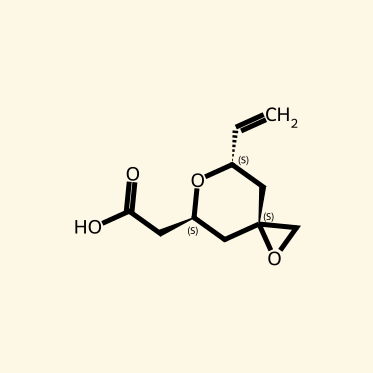 C=C[C@@H]1C[C@]2(CO2)C[C@@H](CC(=O)O)O1